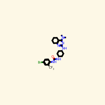 CN(C)c1nc(N[C@H]2CC[C@@H](NC(=O)Nc3ccc(Br)cc3C(F)(F)F)CC2)nc2c1CCCC2